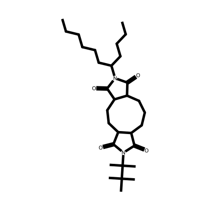 CCCCCCC(CCCC)N1C(=O)C2CCCC3C(=O)N(C(C)(C)C(C)(C)C)C(=O)C3CCC2C1=O